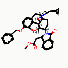 COC(=O)CC1c2ccccc2C(=O)N1[C@@H]1CCC2(O)[C@H]3Cc4ccc(OCc5ccccc5)c5c4[C@@]2(CCN3CC2CC2)[C@H]1O5